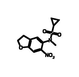 CN(c1cc2c(cc1[N+](=O)[O-])OCC2)S(=O)(=O)C1CC1